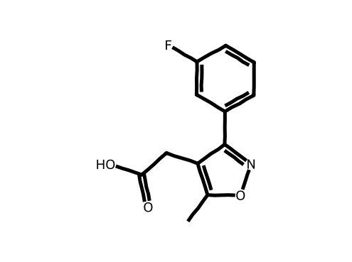 Cc1onc(-c2cccc(F)c2)c1CC(=O)O